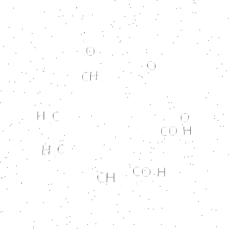 CC1(C)C(C)(C)C2(C(=O)OC2=O)C1(C(=O)O)C(=O)O